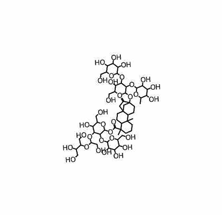 C=C1CC23CCC4C(C)(C(=O)OC5OC(CO)C(O)C(OC(CO)OC(CO)C(O)CO)C5OC5OC(CO)C(O)C(O)C5O)CCCC4(C)C2CCC1(OC1OC(CO)C(O)C(OC2OC(CO)C(O)C(O)C2O)C1OC1OC(C)C(O)C(O)C1O)C3